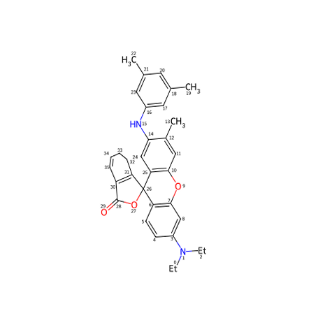 CCN(CC)c1ccc2c(c1)Oc1cc(C)c(Nc3cc(C)cc(C)c3)cc1C21OC(=O)C2=C1CCC=C2